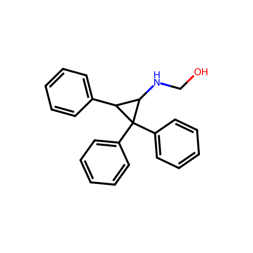 OCNC1C(c2ccccc2)C1(c1ccccc1)c1ccccc1